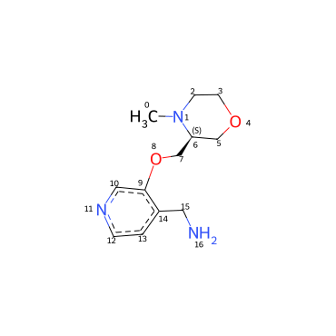 CN1CCOC[C@H]1COc1cnccc1CN